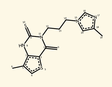 C=C1c2scc(C)c2NC(=S)N1CCCn1cnc(C)c1